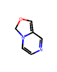 C1=CN2COC=C2C=N1